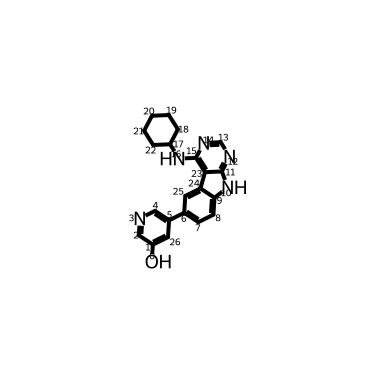 Oc1cncc(-c2ccc3[nH]c4ncnc(NC5CCCCC5)c4c3c2)c1